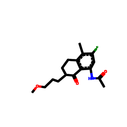 COCCCC1CCc2c(C)c(F)cc(NC(C)=O)c2C1=O